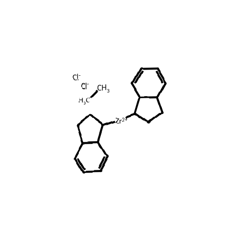 C1=CC2CC[CH]([Zr+2][CH]3CCC4C=CC=CC43)C2C=C1.CC.[Cl-].[Cl-]